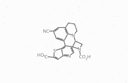 N#Cc1cc2c(c(-c3ccnc4cc(CO)sc34)c1)N(C1CN(C(=O)O)C1)CCC2